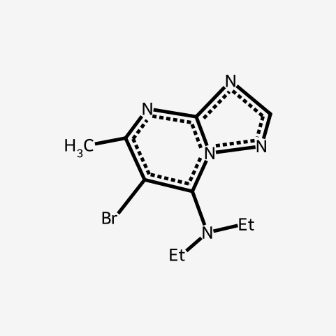 CCN(CC)c1c(Br)c(C)nc2ncnn12